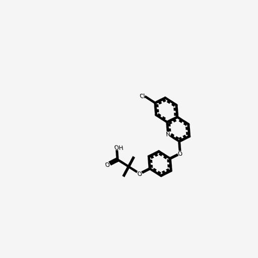 CC(C)(Oc1ccc(Oc2ccc3ccc(Cl)cc3n2)cc1)C(=O)O